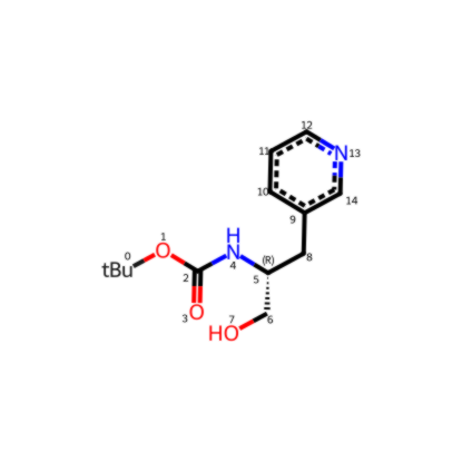 CC(C)(C)OC(=O)N[C@@H](CO)Cc1cccnc1